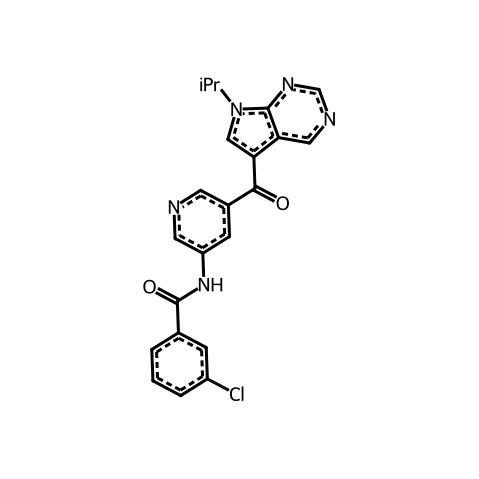 CC(C)n1cc(C(=O)c2cncc(NC(=O)c3cccc(Cl)c3)c2)c2cncnc21